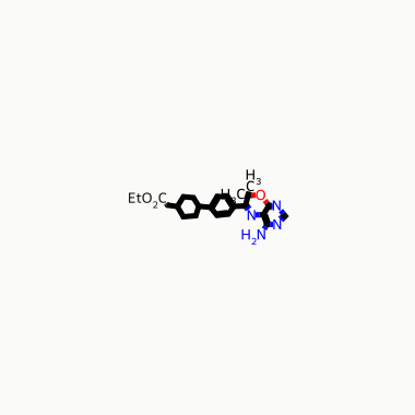 CCOC(=O)CC1CCC(c2ccc(C3=Nc4c(N)ncnc4OC3(C)C)cc2)CC1